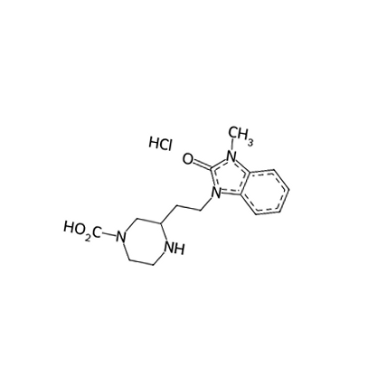 Cl.Cn1c(=O)n(CCC2CN(C(=O)O)CCN2)c2ccccc21